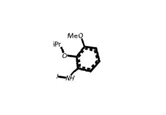 COc1cccc(NI)c1OC(C)C